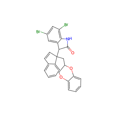 O=C1Nc2c(Br)cc(Br)cc2C1C1(CC2COc3ccccc3O2)C=Cc2ccccc21